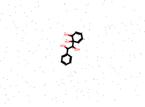 OC(c1ccccc1)C(O)C1(O)C=CC=CC1O